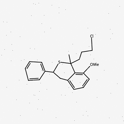 COc1cccc2c1C(C)(CCCCl)SC(c1ccccc1)C2